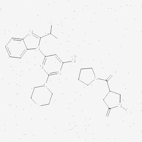 CN1CC(C(=O)N2CC[C@H](Nc3cc(-n4c(C(F)F)nc5ccccc54)nc(N4CCOCC4)n3)C2)CC1=O